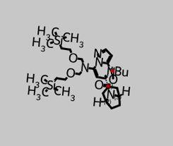 CC(C)(C)OC(=O)N1[C@@H]2CC[C@H]1C[C@@H](c1cc(N(COCC[Si](C)(C)C)COCC[Si](C)(C)C)n3nccc3n1)C2